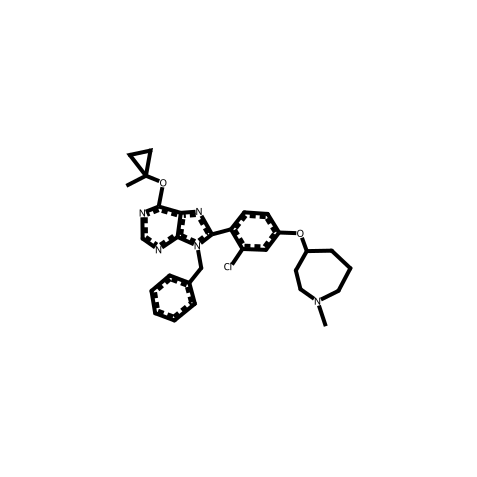 CN1CCCC(Oc2ccc(-c3nc4c(OC5(C)CC5)ncnc4n3Cc3ccccc3)c(Cl)c2)CC1